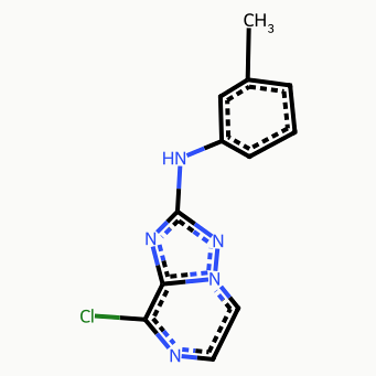 Cc1cccc(Nc2nc3c(Cl)nccn3n2)c1